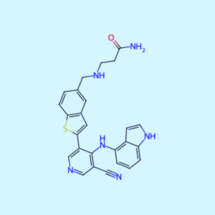 N#Cc1cncc(-c2cc3cc(CNCCC(N)=O)ccc3s2)c1Nc1cccc2[nH]ccc12